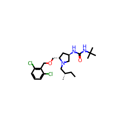 CC[C@H](C)CN1C[C@H](NC(=O)NC(C)(C)C)C[C@H]1COCc1c(Cl)cccc1Cl